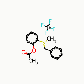 CC(=O)Oc1ccccc1[S+](C)Cc1ccccc1.F[B-](F)(F)F